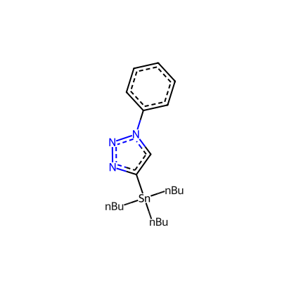 CCC[CH2][Sn]([CH2]CCC)([CH2]CCC)[c]1cn(-c2ccccc2)nn1